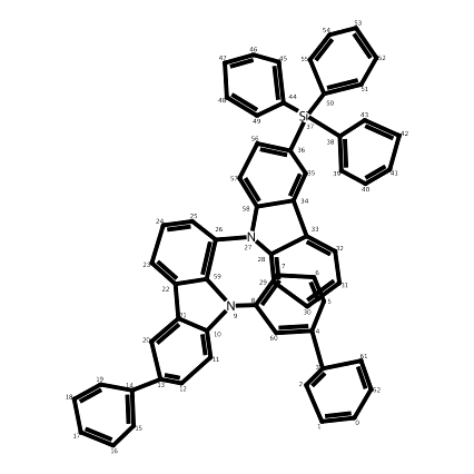 c1ccc(-c2cccc(-n3c4ccc(-c5ccccc5)cc4c4cccc(-n5c6ccccc6c6cc([Si](c7ccccc7)(c7ccccc7)c7ccccc7)ccc65)c43)c2)cc1